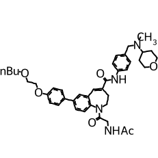 CCCCOCCOc1ccc(-c2ccc3c(c2)C=C(C(=O)Nc2ccc(CN(C)C4CCOCC4)cc2)CCN3C(=O)CNC(C)=O)cc1